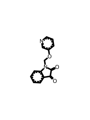 O=C1C(=O)N(COc2cccnc2)c2ccccc21